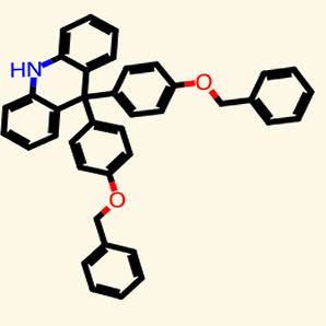 c1ccc(COc2ccc(C3(c4ccc(OCc5ccccc5)cc4)c4ccccc4Nc4ccccc43)cc2)cc1